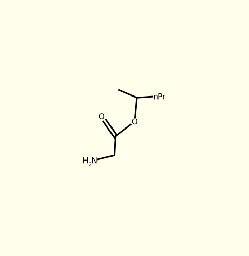 CCCC(C)OC(=O)CN